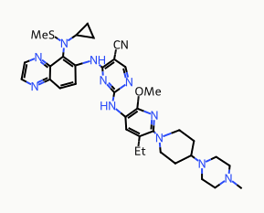 CCc1cc(Nc2ncc(C#N)c(Nc3ccc4nccnc4c3N(SC)C3CC3)n2)c(OC)nc1N1CCC(N2CCN(C)CC2)CC1